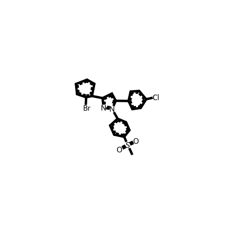 CS(=O)(=O)c1ccc(-n2nc(-c3ccccc3Br)cc2-c2ccc(Cl)cc2)cc1